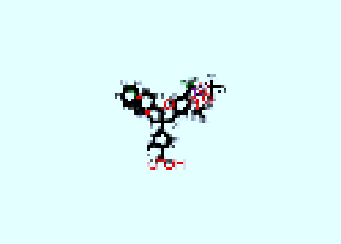 Cc1cc(C(C/C=C/c2ccccc2)(Cc2ccc(C(F)(F)P(=O)(OC(C)(C)C)OC(C)(C)C)cc2)C(=O)c2ccc(F)cc2)ccc1C(=O)O